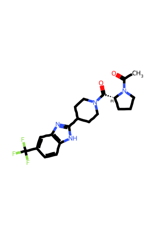 CC(=O)N1CCC[C@@H]1C(=O)N1CCC(c2nc3cc(C(F)(F)F)ccc3[nH]2)CC1